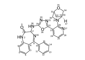 O=C1Nc2ccccc2C(c2ccccc2)=NC1Nc1nnc(-c2cccnc2N2CC3C[C@H]2CO3)o1